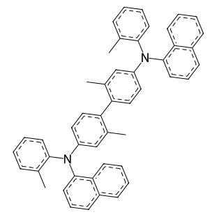 Cc1cc(N(c2ccccc2C)c2cccc3ccccc23)ccc1-c1ccc(N(c2ccccc2C)c2cccc3ccccc23)cc1C